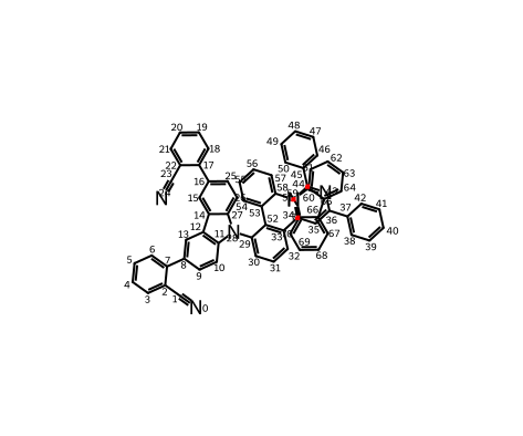 N#Cc1ccccc1-c1ccc2c(c1)c1cc(-c3ccccc3C#N)ccc1n2-c1cccc(-c2cc(-c3ccccc3)nc(-c3ccccc3)n2)c1-c1ccccc1-n1c2ccccc2c2ccccc21